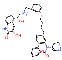 O=C(O)N(c1cc(CCCCOc2cccc(CNC[C@H](O)c3cccc4[nH]c(=O)c(O)cc34)c2)ccc1-c1ccccc1)C1CN2CCC1CC2